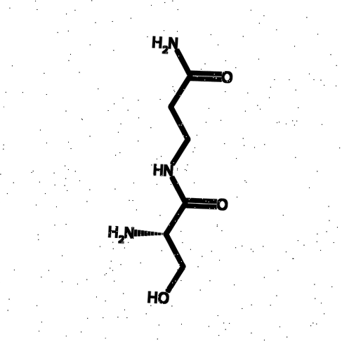 NC(=O)CCNC(=O)[C@@H](N)CO